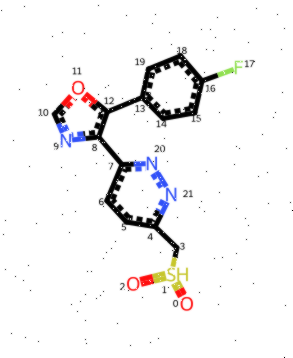 O=[SH](=O)Cc1ccc(-c2ncoc2-c2ccc(F)cc2)nn1